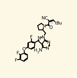 CC(C)(C)/C=C(/C#N)C(=O)N1CCCC1Cn1nc(-c2ccc(Oc3cccc(F)c3F)cc2F)c2c(N)ncnc21